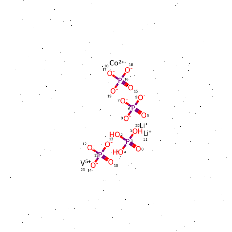 O=P(O)(O)O.O=P([O-])([O-])[O-].O=P([O-])([O-])[O-].O=P([O-])([O-])[O-].[Co+2].[Li+].[Li+].[V+5]